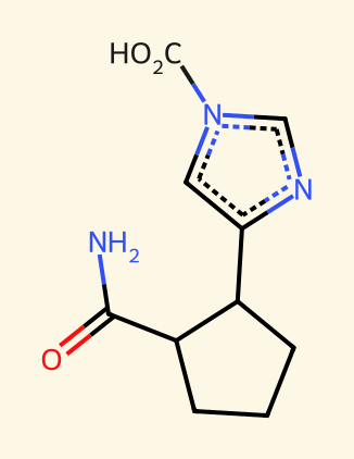 NC(=O)C1CCCC1c1cn(C(=O)O)cn1